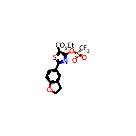 CCOC(=O)c1sc(-c2ccc3c(c2)CCO3)nc1OS(=O)(=O)C(F)(F)F